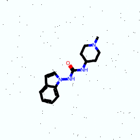 CN1CCC(NC(=O)Nn2ccc3ccccc32)CC1